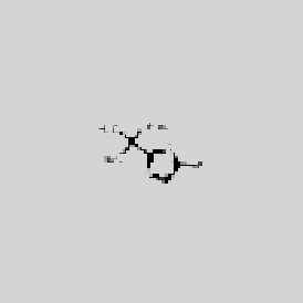 CCCCCCC(C)(CCCC)c1ncc(F)s1